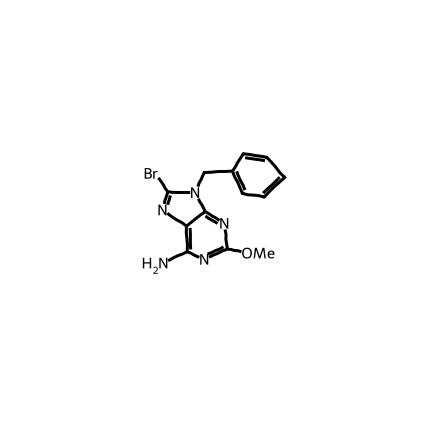 COc1nc(N)c2nc(Br)n(Cc3ccccc3)c2n1